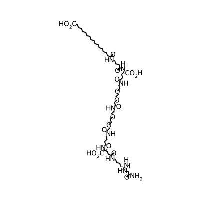 NC(=O)CN[C@H](CCCCNC(=O)CC[C@H](NC(=O)CCCNC(=O)COCCOCCNC(=O)COCCOCCNC(=O)CC[C@H](NC(=O)CCCNC(=O)CCCCCCCCCCCCCCCCC(=O)O)C(=O)O)C(=O)O)NI